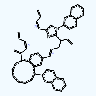 C=C/C=C\C(=C)c1ccccccc(-c2ccc3ccccc3c2)c2cc(/C=C/CC(C=C)c3nc(/C=C\C=C)cn3-c3ccc4ccccc4c3)ccc12